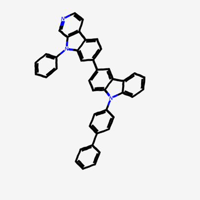 c1ccc(-c2ccc(-n3c4ccccc4c4cc(-c5ccc6c7ccncc7n(-c7ccccc7)c6c5)ccc43)cc2)cc1